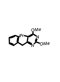 COc1nc(Cc2ccccc2)c(C(C)C)c(OC)n1